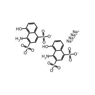 Nc1c(S(=O)(=O)[O-])cc(S(=O)(=O)[O-])c2cccc(O)c12.Nc1c(S(=O)(=O)[O-])cc(S(=O)(=O)[O-])c2cccc(O)c12.[Na+].[Na+].[Na+].[Na+]